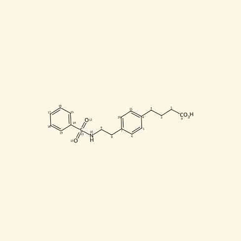 O=C(O)CCCc1ccc(CCNS(=O)(=O)c2ccccc2)cc1